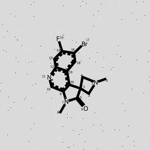 CN1CC2(C1)C(=O)N(C)c1cnc3cc(F)c(Br)cc3c12